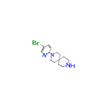 Brc1ccc(N2CCC3(CCNCC3)CC2)nc1